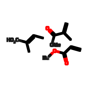 C=C(C)C(=O)OC.C=CC(=O)OC(C)CC.CC=C(C)C(=O)O